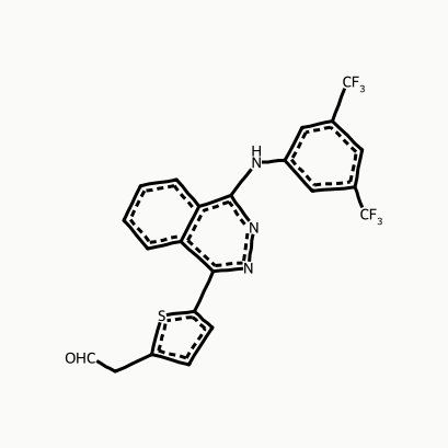 O=CCc1ccc(-c2nnc(Nc3cc(C(F)(F)F)cc(C(F)(F)F)c3)c3ccccc23)s1